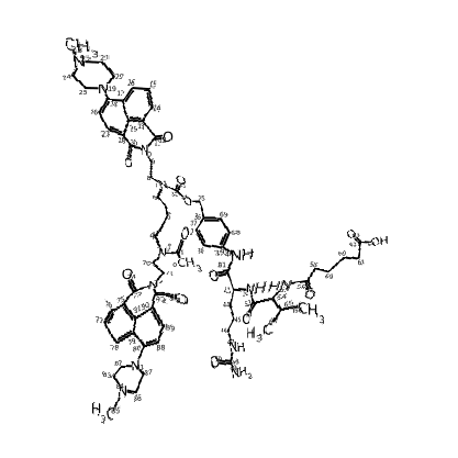 CC(=O)N(CCCN(CCN1C(=O)c2cccc3c(N4CCN(C)CC4)ccc(c23)C1=O)C(=O)OCc1ccc(NC(=O)[C@H](CCCNC(N)=O)NC(=O)C(NC(=O)CCCCC(=O)O)C(C)C)cc1)CCN1C(=O)c2cccc3c(N4CCN(C)CC4)ccc(c23)C1=O